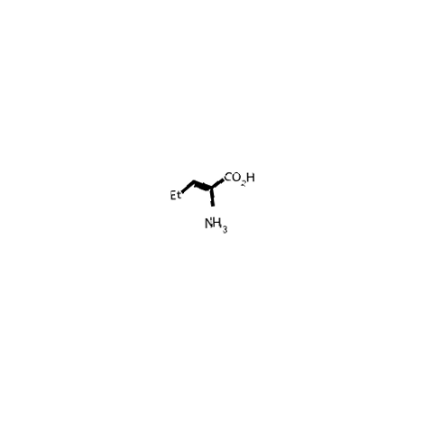 CCC=C(C)C(=O)O.N